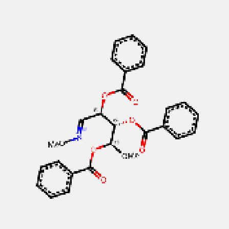 CO/N=C/[C@@H](OC(=O)c1ccccc1)[C@H](OC(=O)c1ccccc1)[C@@H](OC)OC(=O)c1ccccc1